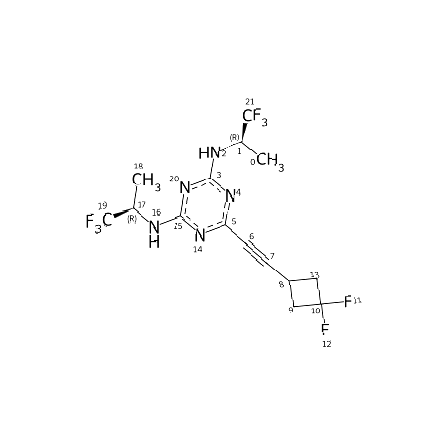 C[C@@H](Nc1nc(C#CC2CC(F)(F)C2)nc(N[C@H](C)C(F)(F)F)n1)C(F)(F)F